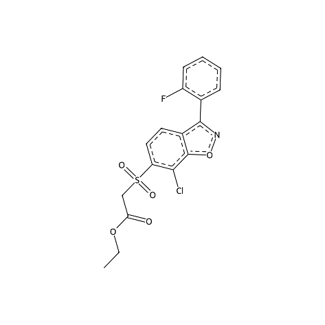 CCOC(=O)CS(=O)(=O)c1ccc2c(-c3ccccc3F)noc2c1Cl